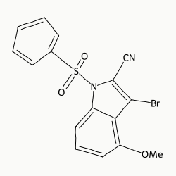 COc1cccc2c1c(Br)c(C#N)n2S(=O)(=O)c1ccccc1